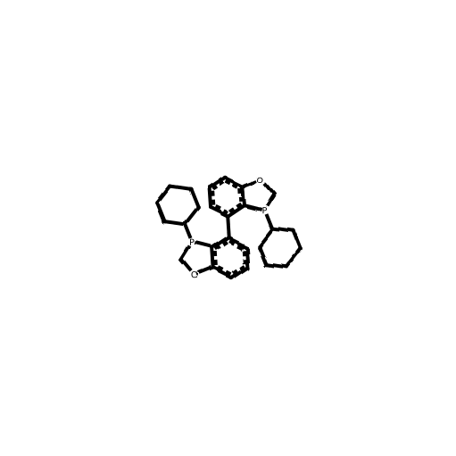 c1cc2c(c(-c3cccc4c3P(C3CCCCC3)CO4)c1)P(C1CCCCC1)CO2